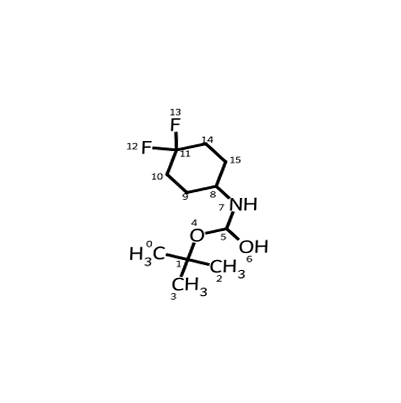 CC(C)(C)OC(O)NC1CCC(F)(F)CC1